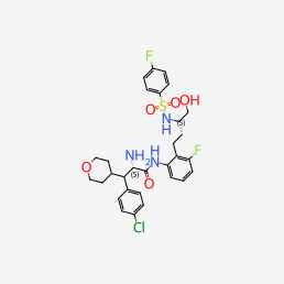 N[C@H](C(=O)Nc1cccc(F)c1CC[C@@H](CO)NS(=O)(=O)c1ccc(F)cc1)C(c1ccc(Cl)cc1)C1CCOCC1